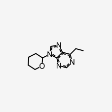 CCc1ncnc2c1ncn2C1CCCCO1